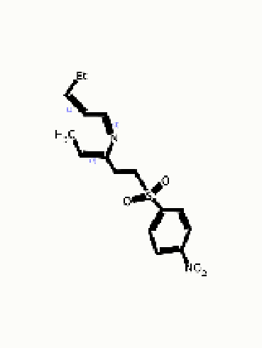 C\C=C(CCS(=O)(=O)c1ccc([N+](=O)[O-])cc1)/N=C\C=C/CC